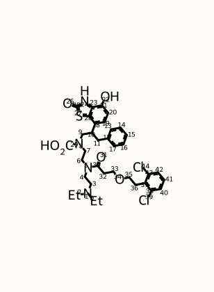 CCN(CC)CCN(CCN(CC(Cc1ccccc1)c1ccc(O)c2[nH]c(=O)sc12)C(=O)O)C(=O)CCOCCc1c(Cl)cccc1Cl